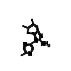 Cc1cnc(-n2c(N)nc3cc(C)c(C)cc32)cn1